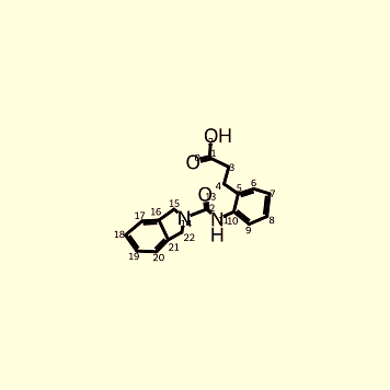 O=C(O)CCc1ccccc1NC(=O)N1Cc2ccccc2C1